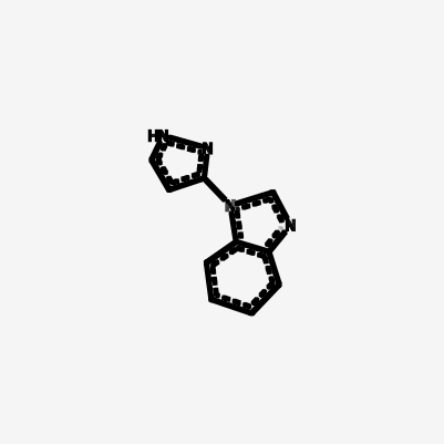 c1ccc2c(c1)ncn2-c1cc[nH]n1